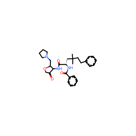 CC(C)(CCc1ccccc1)C[C@H](NC(=O)c1ccccc1)C(=O)NC1C(=O)COC1CN1CCCC1